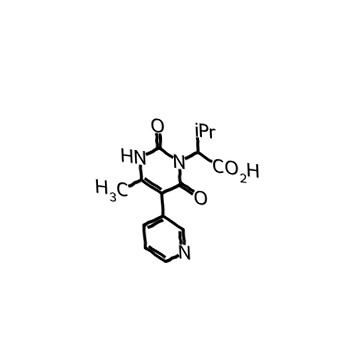 Cc1[nH]c(=O)n(C(C(=O)O)C(C)C)c(=O)c1-c1cccnc1